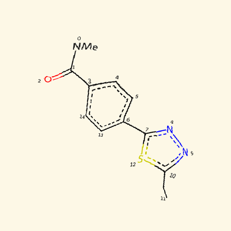 CNC(=O)c1ccc(-c2nnc(C)s2)cc1